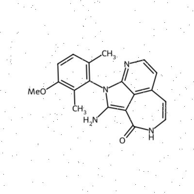 COc1ccc(C)c(-n2c(N)c3c4c(ccnc42)C=CNC3=O)c1C